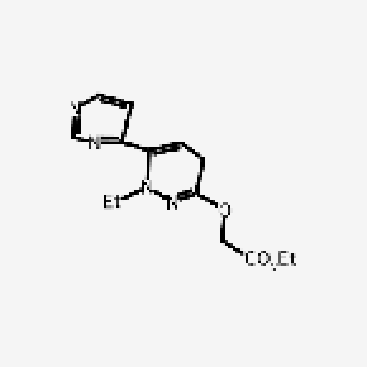 CCOC(=O)COC1=NN(CC)C(c2ccncn2)=CC1